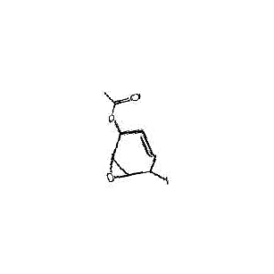 CC(=O)OC1C=CC(I)C2OC12